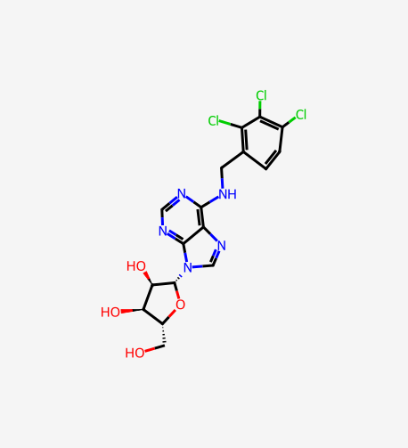 OC[C@H]1O[C@@H](n2cnc3c(NCc4ccc(Cl)c(Cl)c4Cl)ncnc32)[C@H](O)[C@@H]1O